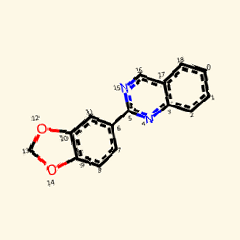 c1ccc2nc(-c3ccc4c(c3)OCO4)ncc2c1